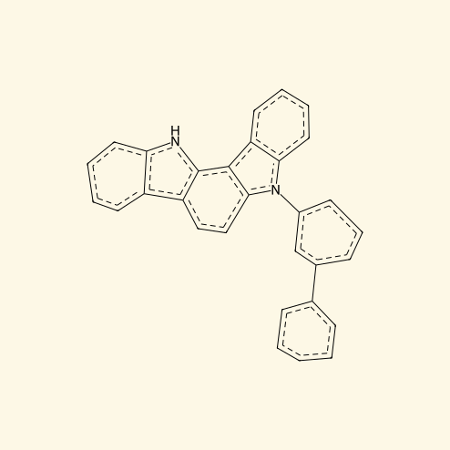 c1ccc(-c2cccc(-n3c4ccccc4c4c5[nH]c6ccccc6c5ccc43)c2)cc1